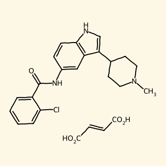 CN1CCC(c2c[nH]c3ccc(NC(=O)c4ccccc4Cl)cc23)CC1.O=C(O)/C=C/C(=O)O